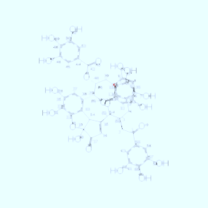 O=C(C[C@@H]1Cc2c(O)cc(O)cc2O[C@@H]1C1=CC(=O)C2(O)Oc3c(O)c(O)cc([C@H]4Oc5cc(O)cc(O)c5C[C@H]4OC(=O)c4cc(O)c(O)c(O)c4)c3C12)c1cc(O)c(O)c(O)c1